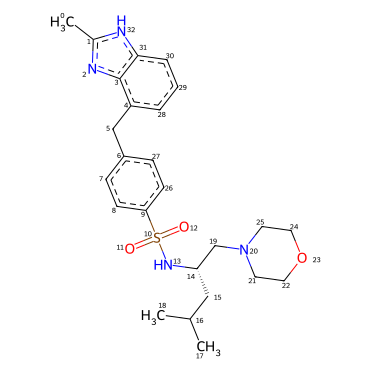 Cc1nc2c(Cc3ccc(S(=O)(=O)N[C@@H](CC(C)C)CN4CCOCC4)cc3)cccc2[nH]1